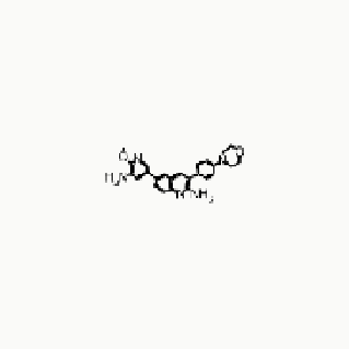 COc1ncc(-c2ccc3nc(N)c(-c4ccc(N5CCOCC5)cc4)cc3c2)cc1N